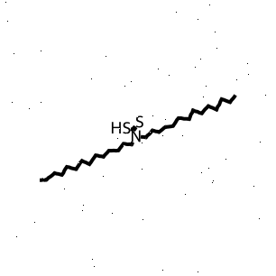 CCCCCCCCCCCCCCN(CCCCCCCCCCCCCC)C(=S)S